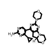 Nc1ncc(-c2nc(N3CCOCC3)nc3c2C[C@H]2COCCN32)c(C2CC2)n1